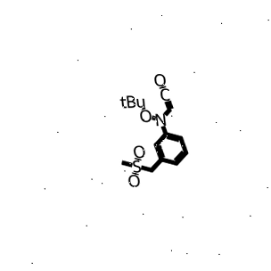 CC(C)(C)ON(C=C=O)c1cccc(CS(C)(=O)=O)c1